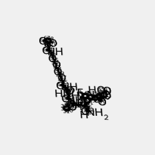 Cc1c(F)cc2nc3c(c4c2c1CC(C(CC(N)=O)NC(=O)CNC(=O)[C@H](Cc1ccccc1)NC(=O)CNC(=O)CNC(=O)CCOCCOCCOCCOCCNC(=O)CCN1C(=O)C=CC1=O)C4)Cn1c-3cc2c(c1=O)COC(=O)[C@H]2O